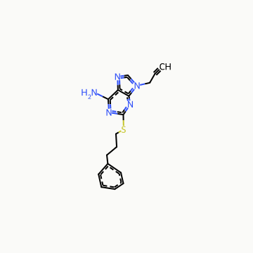 C#CCn1cnc2c(N)nc(SCCCc3ccccc3)nc21